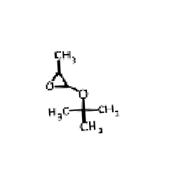 CC1OC1OC(C)(C)C